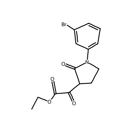 CCOC(=O)C(=O)C1CCN(c2cccc(Br)c2)C1=O